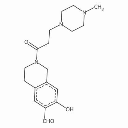 CN1CCN(CCC(=O)N2CCc3cc(C=O)c(O)cc3C2)CC1